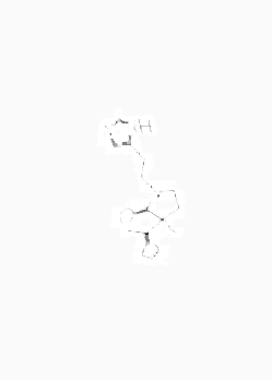 CC(=O)C1(C)CCN(CCc2cnc[nH]2)C1=O